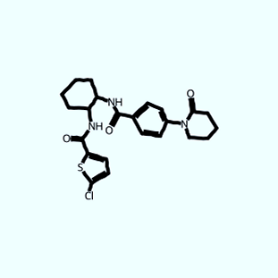 O=C(NC1CCCCC1NC(=O)c1ccc(Cl)s1)c1ccc(N2CCCCC2=O)cc1